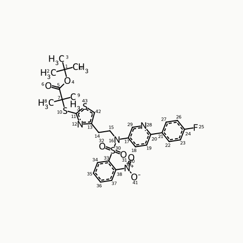 CC(C)(C)OC(=O)C(C)(C)Sc1nc(CCN(c2ccc(-c3ccc(F)cc3)nc2)S(=O)(=O)c2ccccc2[N+](=O)[O-])cs1